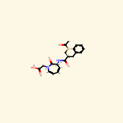 CC(=O)SC[C@@H](Cc1ccccc1)C(=O)N[C@H]1C=CC=CN(CC(=O)O)C1=O